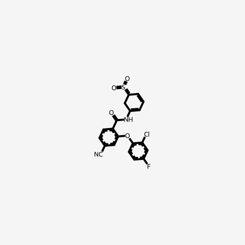 N#Cc1ccc(C(=O)NC2=CC=CC(=S(=O)=O)C2)c(Oc2ccc(F)cc2Cl)c1